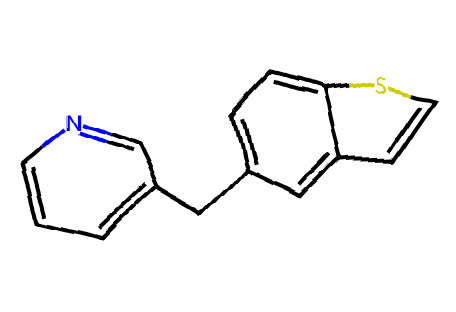 c1cncc(Cc2ccc3sccc3c2)c1